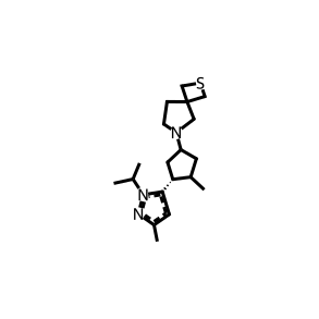 Cc1cc([C@@H]2CC(N3CCC4(CSC4)C3)CC2C)n(C(C)C)n1